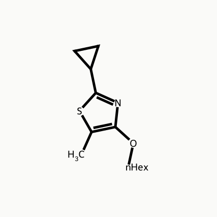 CCCCCCOc1nc(C2CC2)sc1C